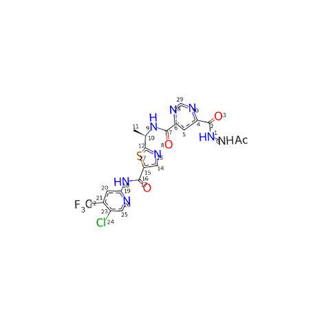 CC(=O)NNC(=O)c1cc(C(=O)N[C@H](C)c2ncc(C(=O)Nc3cc(C(F)(F)F)c(Cl)cn3)s2)ncn1